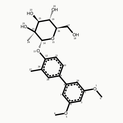 COc1cc(OC)cc(-c2ccc(O[C@H]3O[C@H](CO)[C@@H](O)[C@H](O)[C@]3(C)O)c(C)c2)c1